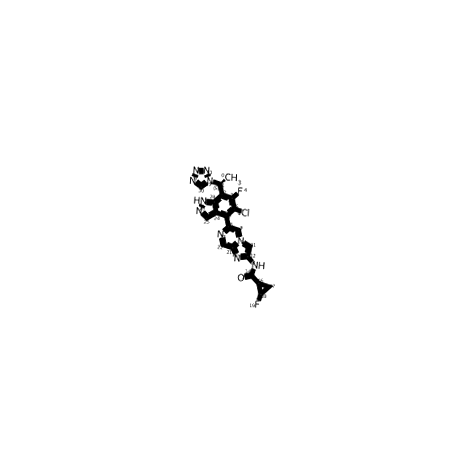 C[C@@H](c1c(F)c(Cl)c(-c2cn3cc(NC(=O)C4CC4F)nc3cn2)c2cn[nH]c12)n1cnnn1